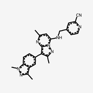 Cc1cc(NCc2ccnc(C#N)c2)n2nc(C)c(-c3ccc4c(c3)c(C)nn4C)c2n1